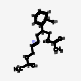 CC(=O)OC/C=C/CC(COC(C)=O)c1ccccc1I